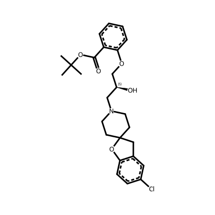 CC(C)(C)OC(=O)c1ccccc1OC[C@@H](O)CN1CCC2(CC1)Cc1cc(Cl)ccc1O2